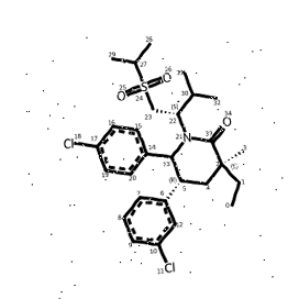 CC[C@@]1(C)C[C@H](c2cccc(Cl)c2)C(c2ccc(Cl)cc2)N([C@H](CS(=O)(=O)C(C)C)C(C)C)C1=O